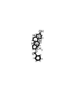 C[C@]12CCC(O)C[C@@H]1CC[C@@H]1[C@@H]2CC[C@]2(C)[C@@H](OC(=O)c3ccccc3)CC[C@@H]12